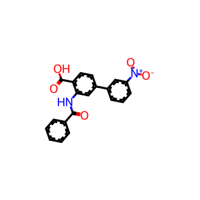 O=C(Nc1cc(-c2cccc([N+](=O)[O-])c2)ccc1C(=O)O)c1ccccc1